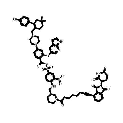 CC1(C)CCC(CN2CCN(c3ccc(C(=O)NS(=O)(=O)c4ccc(NCC5CCCN(C(=O)CCCCCC#Cc6cccc7c6C(=O)N(C6CCC(=O)NC6=O)C7=O)C5)c([N+](=O)[O-])c4)c(Oc4cnc5[nH]ccc5c4)c3)CC2)=C(c2ccc(Cl)cc2)C1